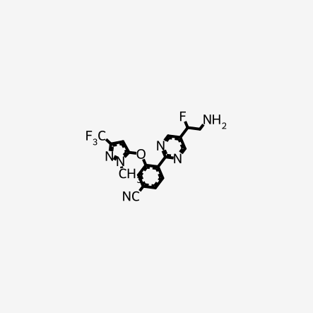 Cn1nc(C(F)(F)F)cc1Oc1cc(C#N)ccc1-c1ncc(C(F)CN)cn1